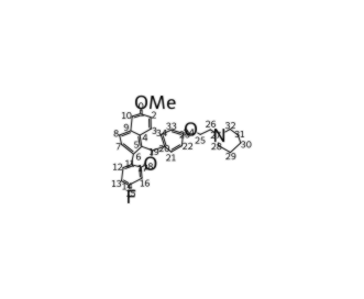 COc1ccc2c3c(ccc2c1)-c1ccc(F)cc1OC3c1ccc(OCCN2CCCCC2)cc1